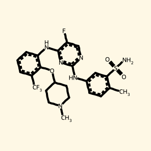 Cc1ccc(Nc2ncc(F)c(Nc3cccc(C(F)(F)F)c3OC3CCN(C)CC3)n2)cc1S(N)(=O)=O